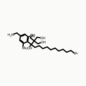 CC(C)CCCCCCCCCCC(O)(c1c(C(C)(C)C)cc(CN)cc1C(C)(C)C)C(CO)(CO)CO